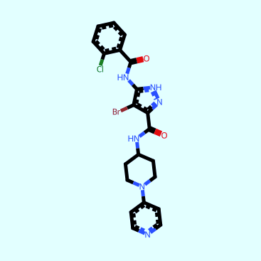 O=C(Nc1[nH]nc(C(=O)NC2CCN(c3ccncc3)CC2)c1Br)c1ccccc1Cl